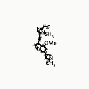 COc1cc(-c2cnn(C)c2)cn2ncc(C#Cc3cnc(CF)n3C)c12